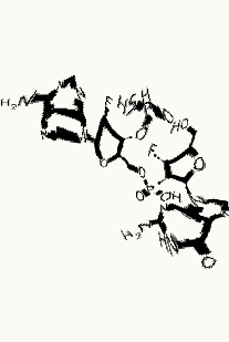 Nc1nc2c(ncn2[C@@H]2O[C@H](CO)[C@@H](F)[C@H]2P(=O)(O)OC[C@H]2O[C@@H](n3cnc4c(N)ncnc43)[C@@H](F)[C@@H]2O[PH](=O)S)c(=O)[nH]1